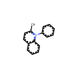 N#Cc1ccc2ccccc2[n+]1-c1ccccc1